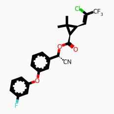 CC1(C)[C@H](C(=O)O[C@H](C#N)c2cccc(Oc3cccc(F)c3)c2)[C@@H]1/C=C(\Cl)C(F)(F)F